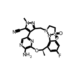 C[C@H]1Oc2nc(cnc2N)-c2c(nn(C)c2C#N)CN2CCS(=O)(=O)N2c2ccc(F)cc21